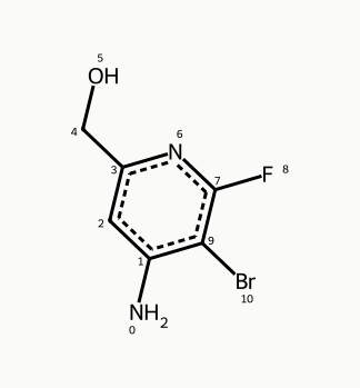 Nc1cc(CO)nc(F)c1Br